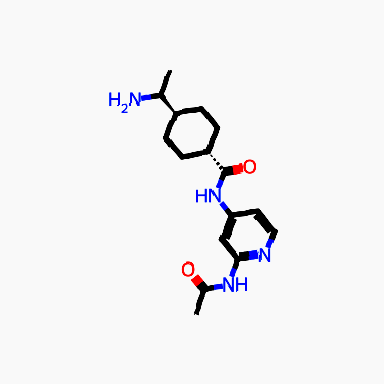 CC(=O)Nc1cc(NC(=O)[C@H]2CC[C@H](C(C)N)CC2)ccn1